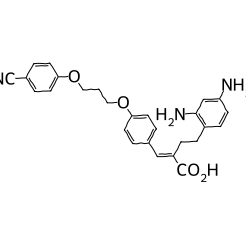 N#Cc1ccc(OCCCOc2ccc(/C=C(\CCc3ccc(N)cc3N)C(=O)O)cc2)cc1